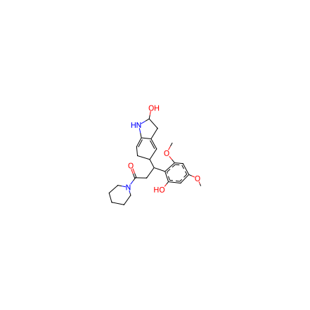 COc1cc(O)c(C(CC(=O)N2CCCCC2)C2C=C3CC(O)NC3=CC2)c(OC)c1